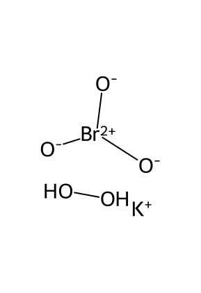 OO.[K+].[O-][Br+2]([O-])[O-]